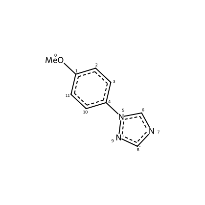 COc1ccc(-n2cn[c]n2)cc1